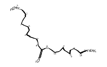 CCCCCCCCCCCCCCCCC(=O)OCCCCCCCCCCCCCCC